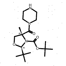 CC(C)(C)OC(=O)N1[C@@H](C(C)(C)C)OC[C@]1(C)C(=O)N1CCNCC1